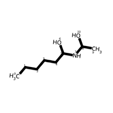 CCCCCC(O)NC(C)O